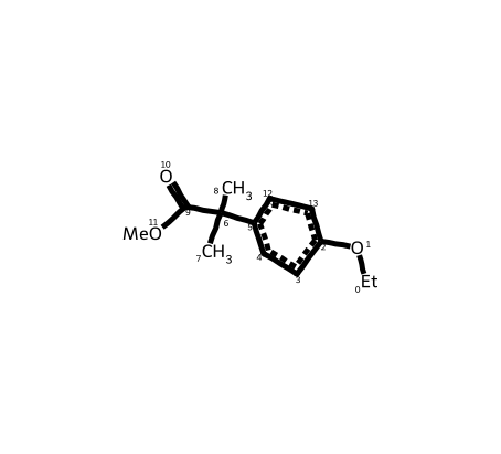 CCOc1ccc(C(C)(C)C(=O)OC)cc1